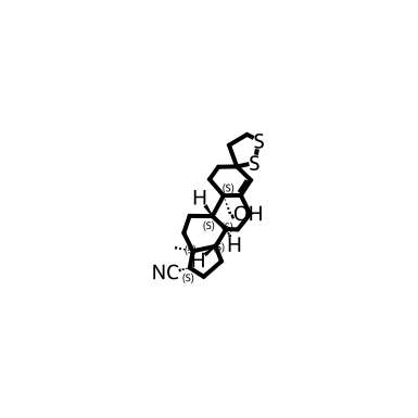 C[C@]12CC[C@H]3[C@@H](CCC4=CC5(CCSS5)CC[C@@]43CO)[C@@H]1CC[C@@H]2C#N